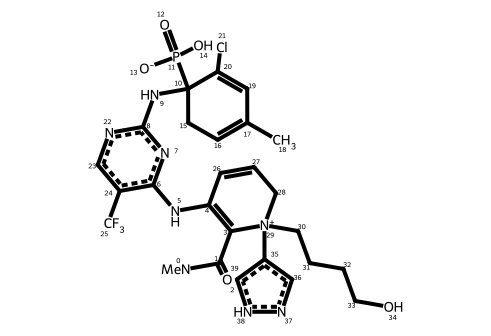 CNC(=O)C1=C(Nc2nc(NC3(P(=O)([O-])O)CC=C(C)C=C3Cl)ncc2C(F)(F)F)C=CC[N+]1(CCCCO)c1cn[nH]c1